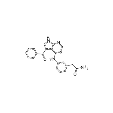 NC(=O)Cc1cccc(Nc2ncnc3[nH]cc(C(=O)c4ccccc4)c23)c1